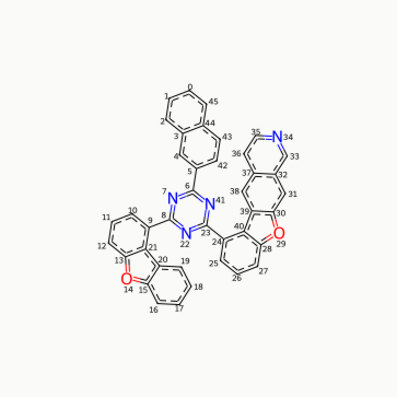 c1ccc2cc(-c3nc(-c4cccc5oc6ccccc6c45)nc(-c4cccc5oc6cc7cnccc7cc6c45)n3)ccc2c1